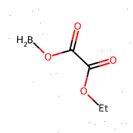 BOC(=O)C(=O)OCC